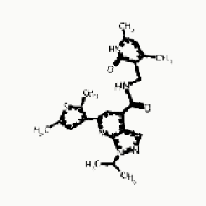 Cc1cc(C)c(CNC(=O)c2cc(-c3cc(C)sc3C)nc3c2cnn3C(C)C)c(=O)[nH]1